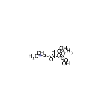 CC(C)/C=C/CCCCC(=O)NCc1ccc(OC(C)C(=O)O)c(OCC(=O)O)c1